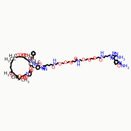 CO[C@H]1C[C@@H]2CC[C@@H](C)[C@@](O)(O2)C(=O)C(=O)N2CCCC[C@H]2C(=O)O[C@H]([C@H](N)C[C@@H]2CC[C@H](n3cc(CCCC(=O)NCCOCCOCCOCCC(=O)NCCOCCOCCOCCC(=O)NCCCCn4nc(-c5ccc6oc(N)nc6c5)c5c(N)ncnc54)nn3)[C@H](OC)C2)C/C(=N/OCc2ccccc2)[C@H](C)/C=C(\C)[C@@H](O)[C@@H](O)C(=O)[C@H](C)C[C@H](C)/C=C/C=C/C=C/1C